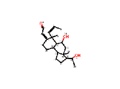 C/C=C\C1(C)/C(=C\C=O)CCC2C1C(O)CC1(C)C(C(C)O)CCC21